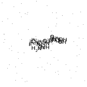 Nc1ncc(C(=O)NC2CN(C(=O)N3CCS(O)(O)CC3)C2)c2ccc(-c3cccc(F)c3)nc12